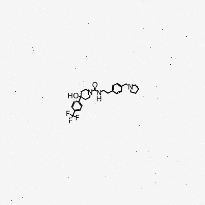 O=C(NCCc1ccc(CN2CCCC2)cc1)N1CCC(O)(c2ccc(C(F)(F)F)cc2)CC1